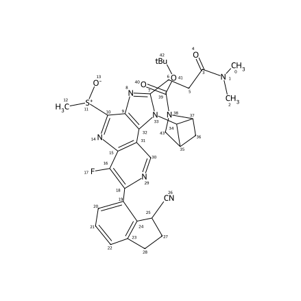 CN(C)C(=O)CCc1nc2c([S+](C)[O-])nc3c(F)c(-c4cccc5c4C(C#N)CC5)ncc3c2n1C1C2CC1N(C(=O)OC(C)(C)C)C2